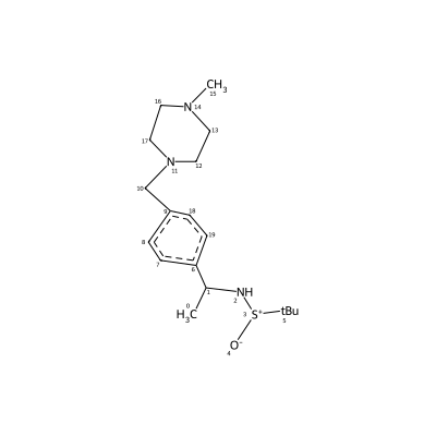 CC(N[S+]([O-])C(C)(C)C)c1ccc(CN2CCN(C)CC2)cc1